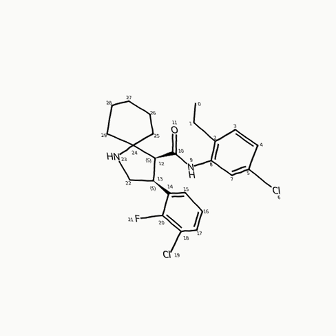 CCc1ccc(Cl)cc1NC(=O)[C@H]1[C@@H](c2cccc(Cl)c2F)CNC12CCCCC2